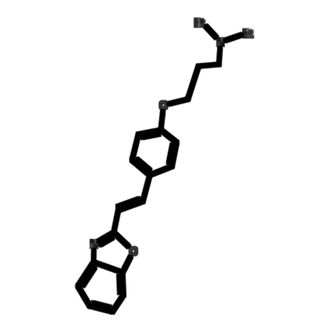 CCN(CC)CCCOc1ccc(C=Cc2nc3ccccc3o2)cc1